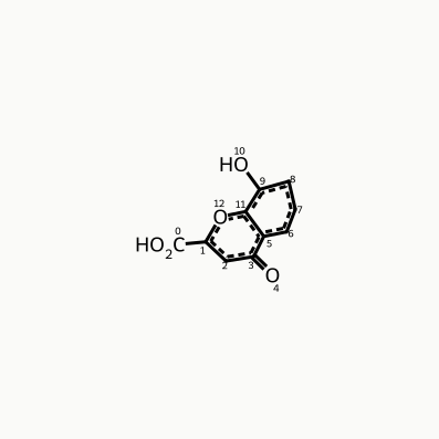 O=C(O)c1cc(=O)c2cccc(O)c2o1